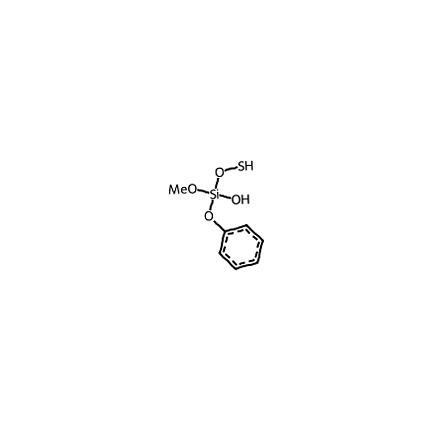 CO[Si](O)(OS)Oc1ccccc1